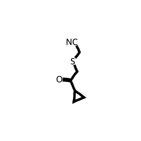 N#CCSCC(=O)C1CC1